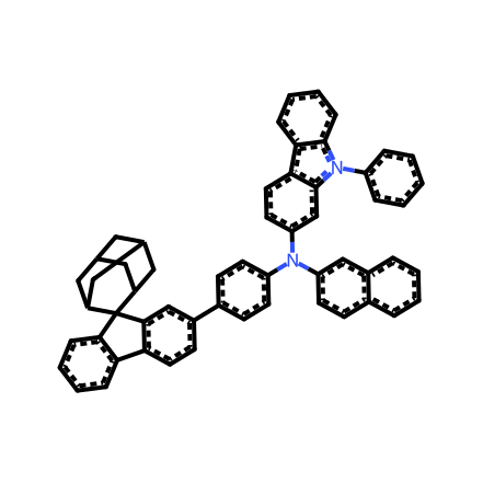 c1ccc(-n2c3ccccc3c3ccc(N(c4ccc(-c5ccc6c(c5)C5(c7ccccc7-6)C6CC7CC(C6)CC5C7)cc4)c4ccc5ccccc5c4)cc32)cc1